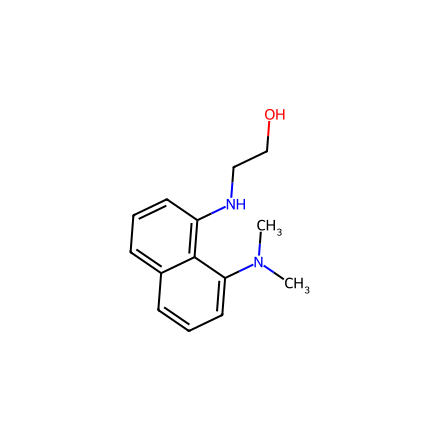 CN(C)c1cccc2cccc(NCCO)c12